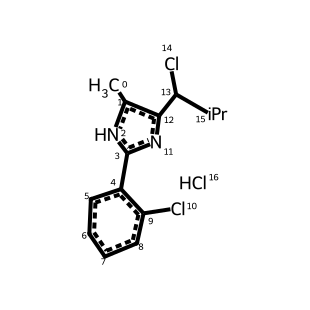 Cc1[nH]c(-c2ccccc2Cl)nc1C(Cl)C(C)C.Cl